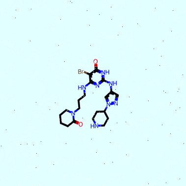 O=C1CCCCN1CCCNc1nc(Nc2cnn(C3CCNCC3)c2)[nH]c(=O)c1Br